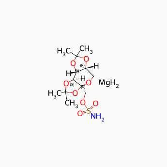 CC1(C)O[C@@H]2[C@@H](CO[C@@]3(COS(N)(=O)=O)OC(C)(C)O[C@@H]23)O1.[MgH2]